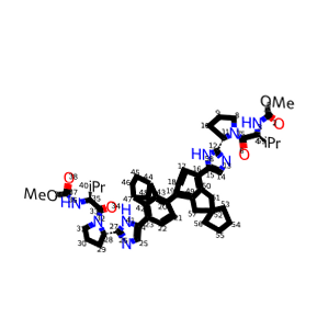 COC(=O)N[C@H](C(=O)N1CCC[C@H]1c1ncc(-c2ccc(-c3ccc(-c4cnc([C@@H]5CCCN5C(=O)[C@@H](NC(=O)OC)C(C)C)[nH]4)c4c3C3CCC4C3)c3c2CC2(CCCC2)C3)[nH]1)C(C)C